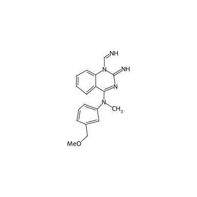 COCc1cccc(N(C)c2nc(=N)n(C=N)c3ccccc23)c1